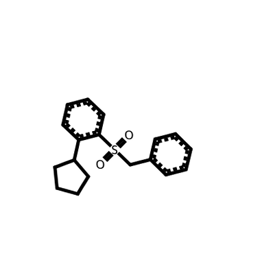 O=S(=O)(Cc1ccccc1)c1ccccc1C1CCCC1